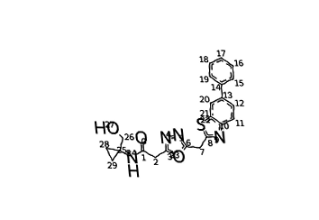 O=C(Cc1nnc(Cc2nc3ccc(-c4ccccc4)cc3s2)o1)NC1(CO)CC1